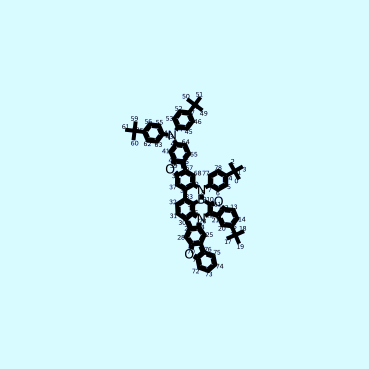 CC(C)(C)c1ccc(N2B3c4oc5ccc(C(C)(C)C)cc5c4-n4c5cc6c(cc5c5ccc(c3c54)-c3cc4oc5cc(N(c7ccc(C(C)(C)C)cc7)c7ccc(C(C)(C)C)cc7)ccc5c4cc32)oc2ccccc26)cc1